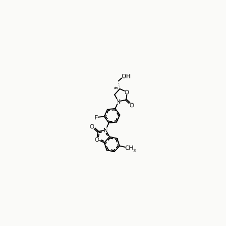 Cc1ccc2oc(=O)n(-c3ccc(N4C[C@H](CO)OC4=O)cc3F)c2c1